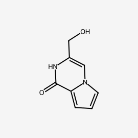 O=c1[nH]c(CO)cn2cccc12